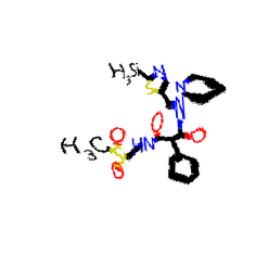 CS(=O)(=O)CCNC(=O)C(C(=O)N(Cc1cnc([SiH3])s1)c1ccccn1)c1ccccc1